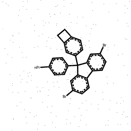 CCCc1ccc(C2(c3ccc4c(c3)CC4)c3cc(Br)ccc3-c3ccc(Br)cc32)cc1